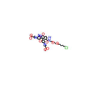 COC(=O)C1CN(c2ccc3c(c2)Oc2cc(N4CC(C(=O)OC)C4)ccc2C32C(=[N+]=[N-])C(=O)c3ccc(C(=O)NCCOCCOCCCCCCCl)cc32)C1